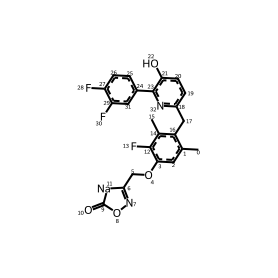 Cc1cc(OC[C]2=NO[C](=O)[Na]2)c(F)c(C)c1Cc1ccc(O)c(-c2ccc(F)c(F)c2)n1